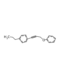 CCCc1ccc(C#CCOc2ccccc2)cc1